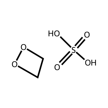 C1COO1.O=S(=O)(O)O